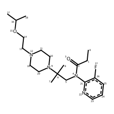 CCC(=O)N(CC(C)(C)N1CCN(CCOC(C)C)CC1)c1ncccc1F